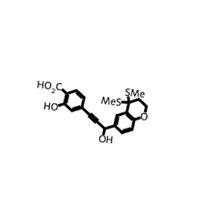 CSC1(SC)CCOc2ccc(C(O)C#Cc3ccc(C(=O)O)c(O)c3)cc21